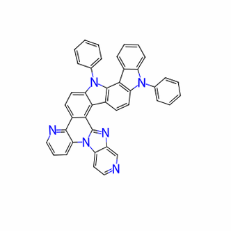 c1ccc(-n2c3ccccc3c3c2ccc2c4c5c(ccc4n(-c4ccccc4)c23)c2ncccc2n2c3ccncc3nc52)cc1